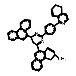 CC1C=Cc2c(C3=NC(c4ccc(-c5nccc6c5C=CCC6)cc4)=NC(c4cc5ccccc5c5ccccc45)C3)cc3ccccc3c2C1